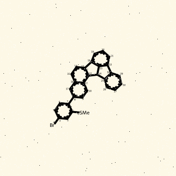 CSc1cc(Br)ccc1-c1ccc2c3c(ccc2c1)-c1cccc2c1C3c1ccccc1-2